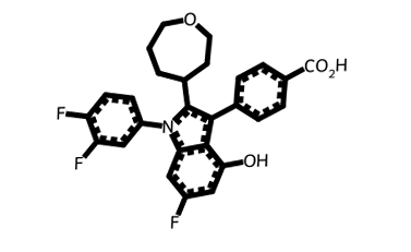 O=C(O)c1ccc(-c2c(C3CCCOCC3)n(-c3ccc(F)c(F)c3)c3cc(F)cc(O)c23)cc1